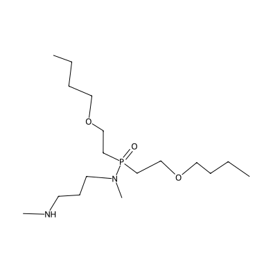 CCCCOCCP(=O)(CCOCCCC)N(C)CCCNC